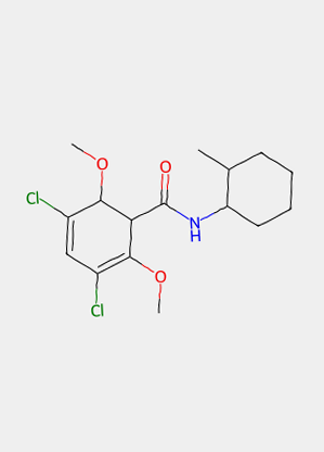 COC1=C(Cl)C=C(Cl)C(OC)C1C(=O)NC1CCCCC1C